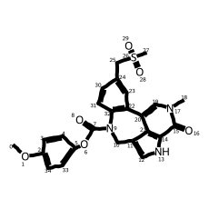 COc1ccc(OC(=O)N2Cc3c[nH]c4c(=O)n(C)cc(c34)-c3cc(CS(C)(=O)=O)ccc32)cc1